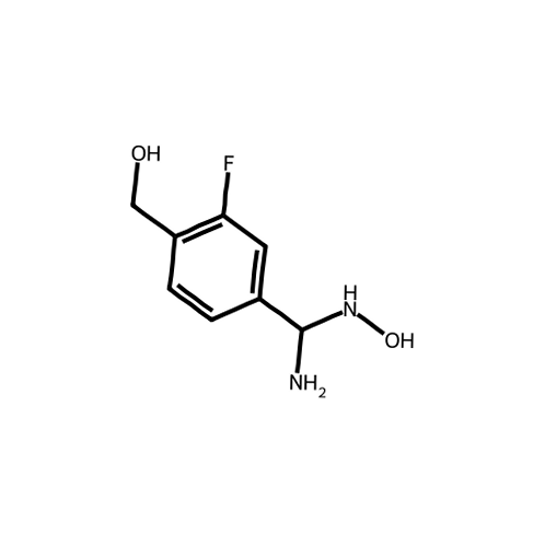 NC(NO)c1ccc(CO)c(F)c1